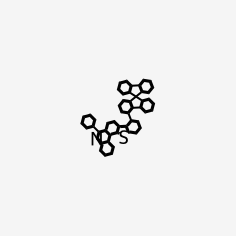 c1ccc(-c2nc3ccccc3c3c2ccc2c3sc3cccc(-c4cccc5c4-c4ccccc4C54c5ccccc5-c5ccccc54)c32)cc1